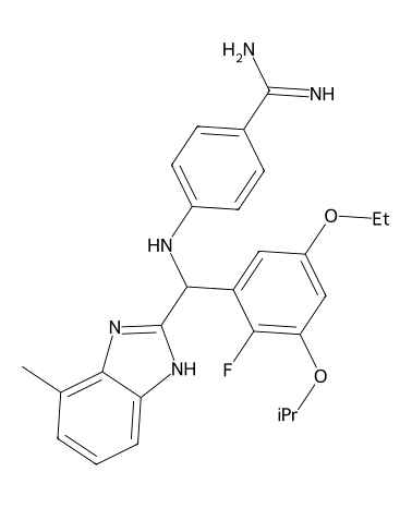 CCOc1cc(OC(C)C)c(F)c(C(Nc2ccc(C(=N)N)cc2)c2nc3c(C)cccc3[nH]2)c1